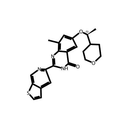 Cc1cc(O[C@@H](C)C2CCOCC2)cc2c(=O)[nH]c(-c3cc4ccsc4cn3)nc12